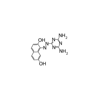 Nc1nc(N)nc(/N=N/c2c(O)ccc3ccc(O)cc23)n1